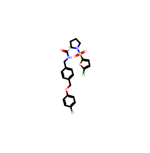 O=C(NCc1ccc(COc2ccc(Cl)cc2)cc1)[C@@H]1CCCN1S(=O)(=O)c1ccc(Cl)s1